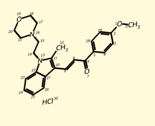 COc1ccc(C(=O)C=Cc2c(C)n(CCN3CCOCC3)c3ccccc23)cc1.Cl